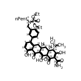 CCCCCN(Cc1cccc(-c2ccc(O)c3c2C[C@H]2C[C@H]4[C@H](N(C)C)C(O)=C(C(N)=O)C(=O)[C@@]4(O)C(O)=C2C3=O)c1)P(=O)(OCC)OCC